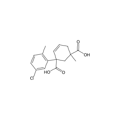 Cc1ccc(Cl)cc1C1(C(=O)O)C=CCC(C)(C(=O)O)C1